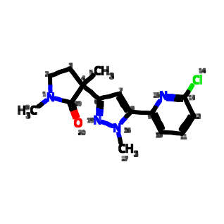 CN1CCC(C)(c2cc(-c3cccc(Cl)n3)n(C)n2)C1=O